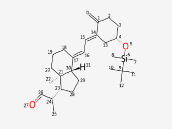 C=C1CC[C@H](O[Si](C)(C)C(C)(C)C)C/C1=C\C=C1/CCC[C@]2(C)[C@@H](C(C)C=O)CC[C@@H]12